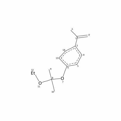 C=C(C)c1ccc(OC(C)(C)OCC)cc1